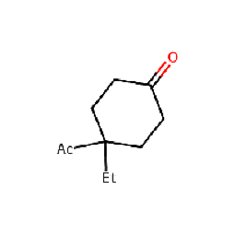 CCC1(C(C)=O)CCC(=O)CC1